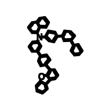 c1ccc(-c2cccc(-c3ccc(N(c4cccc(-c5ccc(-c6cccc7c6oc6ccccc67)cc5)c4)c4cccc5ccccc45)cc3)c2)cc1